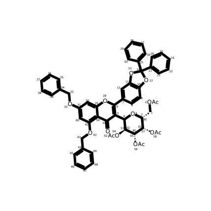 CC(=O)OC[C@H]1OC(c2c(-c3ccc4c(c3)OC(c3ccccc3)(c3ccccc3)O4)oc3cc(OCc4ccccc4)cc(OCc4ccccc4)c3c2=O)[C@H](OC(C)=O)[C@@H](OC(C)=O)[C@H]1OC(C)=O